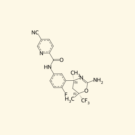 C[C@@]1(c2cc(NC(=O)c3ccc(C#N)cn3)ccc2F)C[C@@](C)(C(F)(F)F)OC(N)=N1